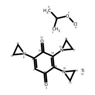 CC(C)OCl.O=C1C=C(N2CC2)C(=O)C(N2CC2)=C1N1CC1.[Ti]